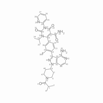 CC(C)C(=O)N1CCC(n2nc(-c3ccc(-c4c(C(N)=O)c(=O)n(-c5ccccn5)c(=O)n4C(C)C)cc3F)c3c(N)nccc32)CC1